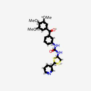 COc1cc(C(=O)c2cccc(NC(=O)NC3CSC(c4cccnc4)S3)c2)cc(OC)c1OC